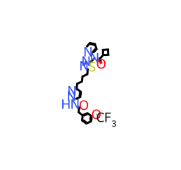 O=C(Cc1cccc(OC(F)(F)F)c1)Nc1ccc(CCCCc2nnc(N(C(=O)C3CCC3)c3ccccn3)s2)nn1